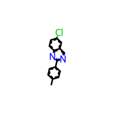 Cc1ccc(-c2ncc3cc(Cl)ccc3n2)cc1